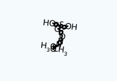 CP(C)(=O)CCN1CCN(CCOc2ccc(C(=O)c3c(-c4ccc(O)cc4)sc4cc(O)ccc34)cc2)CC1